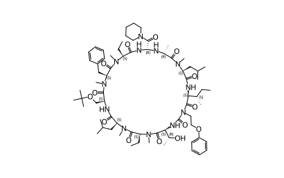 CC[C@H](C)[C@@H]1NC(=O)[C@H](CC(C)C)N(C)C(=O)[C@@H](C)N[C@@H](C(=O)N2CCCCC2)NC(=O)[C@H](CC)N(C)C(=O)[C@H](Cc2ccccc2)N(C)C(=O)[C@H](COC(C)(C)C)NC(=O)[C@H](CC(C)C)N(C)C(=O)[C@H](CC)N(C)C(=O)[C@H]([C@@H](C)O)NC(=O)N(CCOc2ccccc2)C1=O